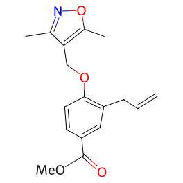 C=CCc1cc(C(=O)OC)ccc1OCc1c(C)noc1C